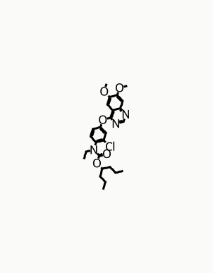 CCCC(CCC)OC(=O)N(CC)c1ccc(Oc2ncnc3cc(OC)c(OC)cc23)cc1Cl